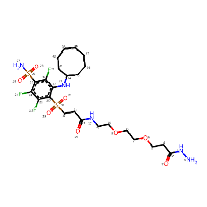 NNC(=O)CCOCCOCCNC(=O)CCS(=O)(=O)c1c(F)c(F)c(S(N)(=O)=O)c(F)c1NC1CCCCCCC1